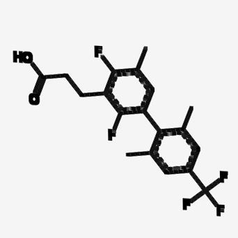 Cc1cc(-c2c(C)cc(C(F)(F)F)cc2C)c(F)c(CCC(=O)O)c1F